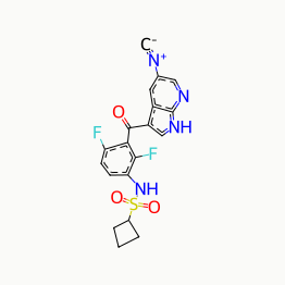 [C-]#[N+]c1cnc2[nH]cc(C(=O)c3c(F)ccc(NS(=O)(=O)C4CCC4)c3F)c2c1